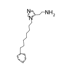 NCCc1cncn1CCCCCCCCc1ccccc1